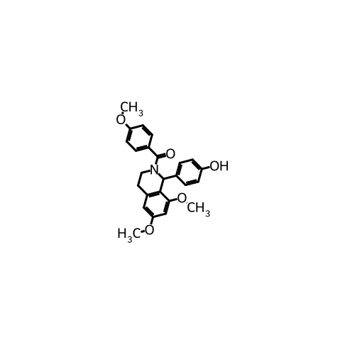 COc1ccc(C(=O)N2CCc3cc(OC)cc(OC)c3C2c2ccc(O)cc2)cc1